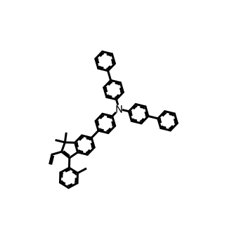 C=CC1=C(c2ccccc2C)c2ccc(-c3ccc(N(c4ccc(-c5ccccc5)cc4)c4ccc(-c5ccccc5)cc4)cc3)cc2C1(C)C